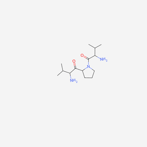 CC(C)C(N)C(=O)C1CCCN1C(=O)C(N)C(C)C